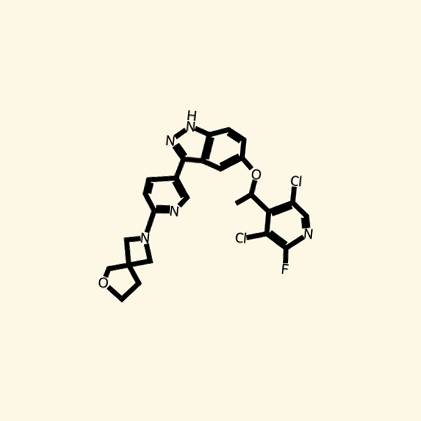 CC(Oc1ccc2[nH]nc(-c3ccc(N4CC5(CCOC5)C4)nc3)c2c1)c1c(Cl)cnc(F)c1Cl